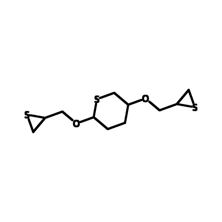 C1CC(OCC2CS2)SCC1OCC1CS1